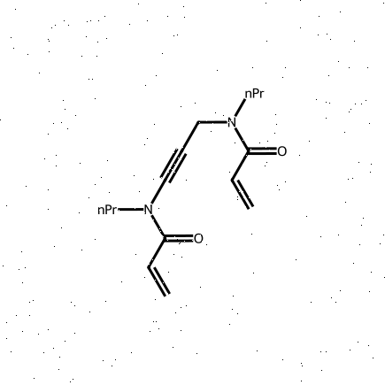 C=CC(=O)N(C#CCN(CCC)C(=O)C=C)CCC